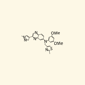 COc1cc(OC)cc(N(Cc2csc(C)n2)c2ccc3ncc(-c4cnn(C)c4)nc3c2)c1